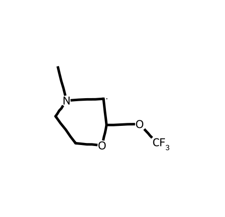 CN1[CH]C(OC(F)(F)F)OCC1